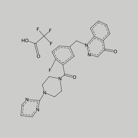 O=C(O)C(F)(F)F.O=C(c1cc(Cn2ncc(=O)c3ccccc32)ccc1F)N1CCN(c2ncccn2)CC1